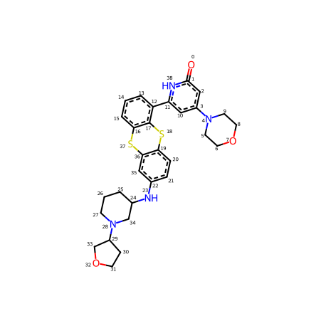 O=c1cc(N2CCOCC2)cc(-c2cccc3c2Sc2ccc(NC4CCCN(C5CCOC5)C4)cc2S3)[nH]1